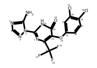 Nc1ncnn1-c1nc(C(F)(F)F)c(Oc2ccc(Cl)c(Cl)c2)c(=O)[nH]1